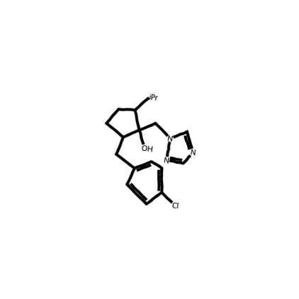 CC(C)C1CCC(Cc2ccc(Cl)cc2)C1(O)Cn1cncn1